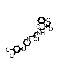 O=C(CN1C(=O)COc2ccccc21)NC[C@@H](O)CN1CCC(Oc2ccc(Cl)c(Cl)c2)CC1